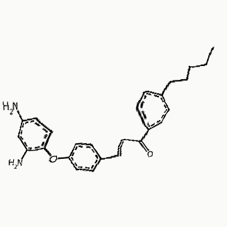 CCCCCc1ccc(C(=O)/C=C/c2ccc(Oc3ccc(N)cc3N)cc2)cc1